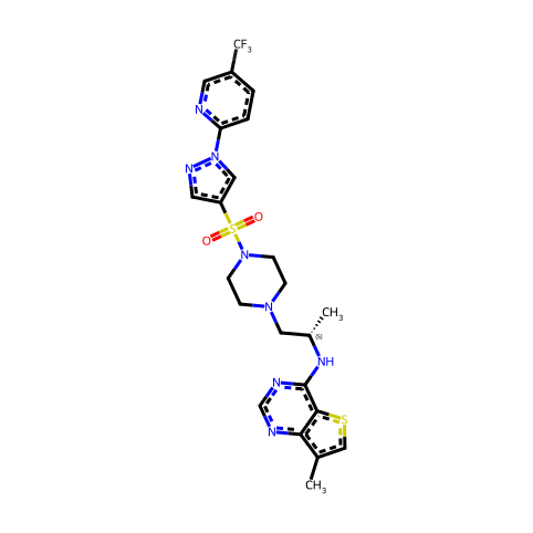 Cc1csc2c(N[C@@H](C)CN3CCN(S(=O)(=O)c4cnn(-c5ccc(C(F)(F)F)cn5)c4)CC3)ncnc12